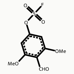 COc1cc(OS(=O)(=O)F)cc(OC)c1C=O